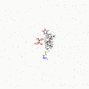 C[C@]12CC[C@H](SCCCN)C[C@H]1CC[C@@H]1[C@@H]2CC[C@]2(C)[C@@H](c3ccoc3)C[C@H]3O[C@]132.O=C(O)C(=O)O